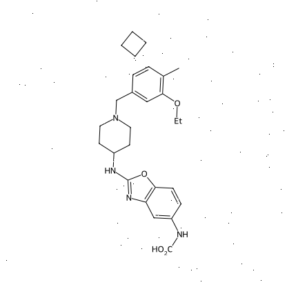 C1CCC1.CCOc1cc(CN2CCC(Nc3nc4cc(NC(=O)O)ccc4o3)CC2)ccc1C